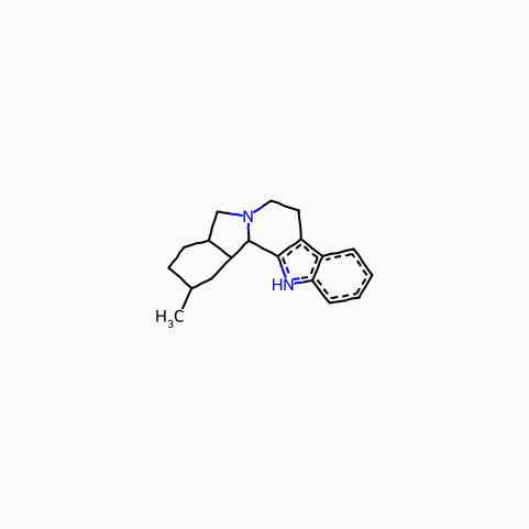 CC1CCC2CN3CCc4c([nH]c5ccccc45)C3C2C1